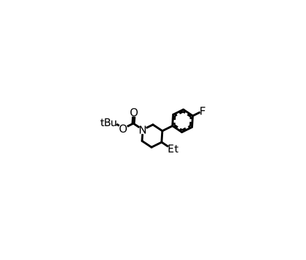 CCC1CCN(C(=O)OC(C)(C)C)CC1c1ccc(F)cc1